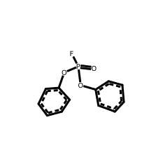 O=P(F)(Oc1ccccc1)Oc1ccccc1